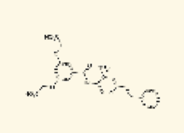 O=C(O)COc1cc(OCC(=O)O)cc(C(=O)Nc2ccc(C=Cc3ccccc3)cc2C(=O)O)c1